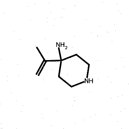 C=C(C)C1(N)CCNCC1